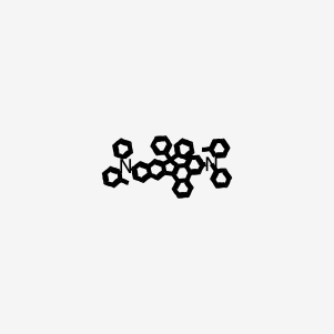 Cc1ccccc1N(c1ccccc1)c1ccc2cc3c(cc2c1)C(c1ccccc1)(c1ccccc1)c1c-3c2ccccc2c2cc(N(c3ccccc3)c3ccccc3C)ccc12